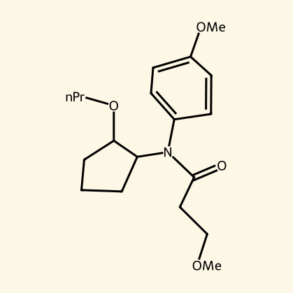 CCCOC1CCCC1N(C(=O)CCOC)c1ccc(OC)cc1